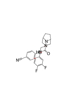 N#Cc1ccc(OCCN2C3CCC2CN(C(=O)Nc2ccc(F)c(F)c2)C3)cc1